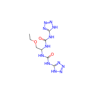 CCOCC(NC(=O)Nc1nnn[nH]1)NC(=O)Nc1nnn[nH]1